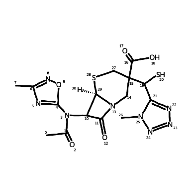 CC(=O)N(c1nc(C)no1)C1C(=O)N2CC(C(=O)O)(C(S)c3nnnn3C)CS[C@H]12